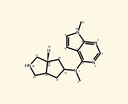 CN(c1ncnc2c1ccn2C)C1CC2CNC[C@@H]2C1